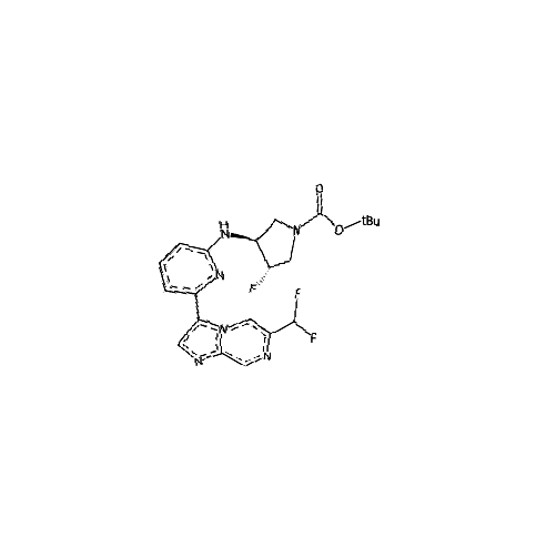 CC(C)(C)OC(=O)N1C[C@H](Nc2cccc(-c3cnc4cnc(C(F)F)cn34)n2)[C@@H](F)C1